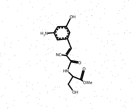 COC(=O)C(CO)NC(=O)/C(C#N)=C/c1cc(N)cc(O)c1